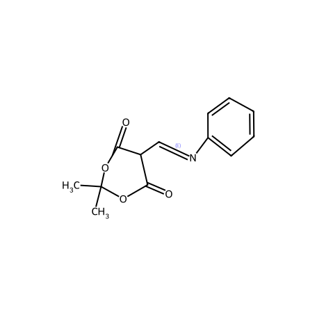 CC1(C)OC(=O)C(/C=N/c2ccccc2)C(=O)O1